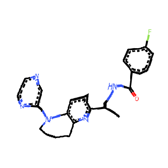 CC(NC(=O)c1ccc(F)cc1)c1ccc2c(n1)CCCN2c1cnccn1